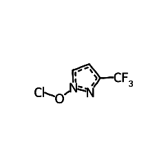 FC(F)(F)c1ccn(OCl)n1